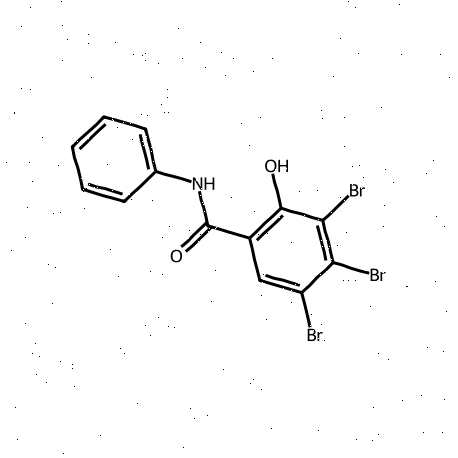 O=C(Nc1ccccc1)c1cc(Br)c(Br)c(Br)c1O